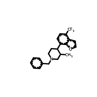 CC1CN(Cc2ccccc2)CCC1c1ccc(C(F)(F)F)c2ccoc12